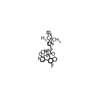 COc1cc(-c2cc(F)c3c(c2NC(=O)NSc2ccn(C(C)(C)CN4CCC4)n2)CCC3)ccn1